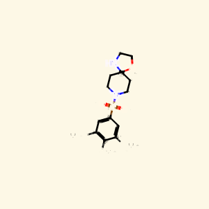 COc1cc(S(=O)(=O)N2CCC3(CC2)NCCO3)cc(OC)c1OC